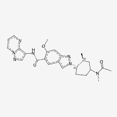 COc1cc2nn([C@H]3CCC(N(C)C(C)=O)C[C@@H]3C)cc2cc1C(=O)Nc1cnn2cccnc12